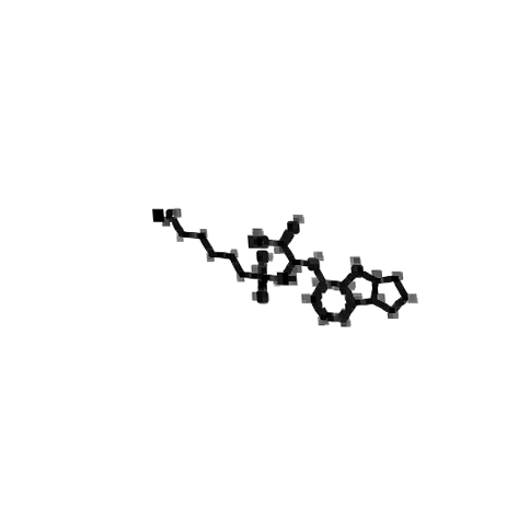 CCCCCCS(=O)(=O)NC(Oc1cccc2c1OC1CCCC21)C(=O)O